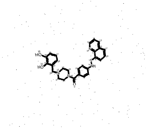 O=C(c1ccc(NSc2cccc3cccnc23)cc1)N1CCN(Cc2cccc(O)c2O)CC1